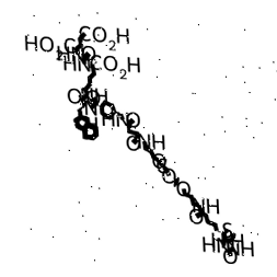 O=C(O)CC[C@H](NC(=O)N[C@@H](CCCCNC(=O)[C@H](Cc1ccc2ccccc2c1)NC(=O)[C@H]1CC[C@H](CNC(=O)CCC(=O)NCCCOCCOCCOCCCNC(=O)CCCC[C@@H]2SC[C@@H]3NC(=O)N[C@@H]32)CC1)C(=O)O)C(=O)O